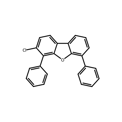 Clc1ccc2c(oc3c(-c4ccccc4)cccc32)c1-c1ccccc1